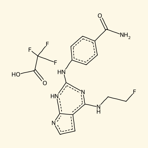 NC(=O)c1ccc(Nc2nc(NCCF)c3ccnc-3[nH]2)cc1.O=C(O)C(F)(F)F